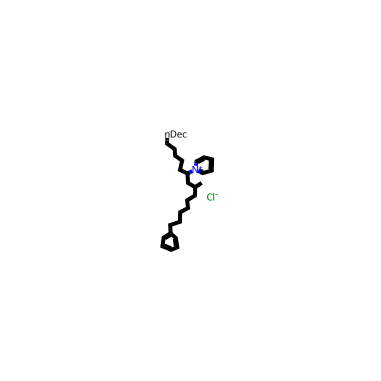 CCCCCCCCCCCCCCCC(CC(C)CCCCCCc1ccccc1)[n+]1ccccc1.[Cl-]